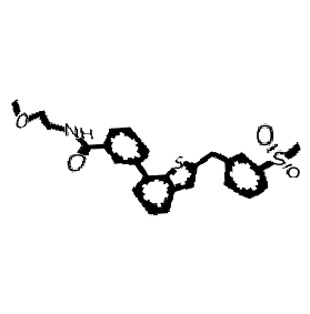 COCCNC(=O)c1cccc(-c2cccc3cc(Cc4cccc(S(C)(=O)=O)c4)sc23)c1